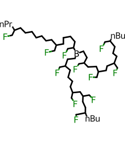 CCCCC(CF)CCCC(CF)CCC(CF)CCC(CF)CCB(CCC(CF)CCCCC(CF)CC(CF)CCC(CF)CCCC)C(CF)CCCCC(CF)CCCCCCCC(CF)CCC